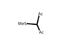 CSC(C(C)=O)C(C)=O